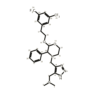 CN(C)Cc1[nH]nnc1CN1CCOC(OCCc2cc(C(F)(F)F)cc(C(F)(F)F)c2)C1c1ccccc1